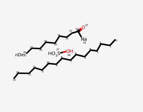 CCCCCCCCCCCCCCCC.CCCCCCCCCCCCCCCCC[C](=O)[Na].O=S(=O)(O)O